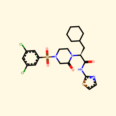 O=C(Nc1nccs1)[C@H](CC1CCCCC1)N1CCN(S(=O)(=O)c2cc(Cl)cc(Cl)c2)CC1=O